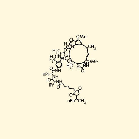 CCCCC(C)C1CC(=O)N(CCCCCC(=O)N[C@H](C(=O)N[C@@H](CCC)C(=O)Nc2ccc(C(=O)N(C)[C@@H](C)C(=O)O[C@H]3CC(=O)N(C)c4cc(cc(OC)c4Cl)C/C(C)=C/C=C/[C@@H](OC)[C@@]4(O)C[C@H](OC(=O)N4)[C@@H](C)[C@@H]4O[C@@]34C)c(C(F)(F)F)c2)C(C)C)C1=O